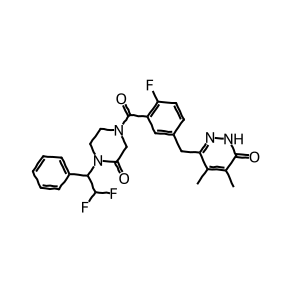 Cc1c(Cc2ccc(F)c(C(=O)N3CCN(C(c4ccccc4)C(F)F)C(=O)C3)c2)n[nH]c(=O)c1C